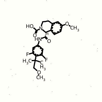 COCC(C)(C)c1c(F)cc(NC(=O)[C@H]2c3ccc(OC)cc3CCN2C(=O)O)cc1F